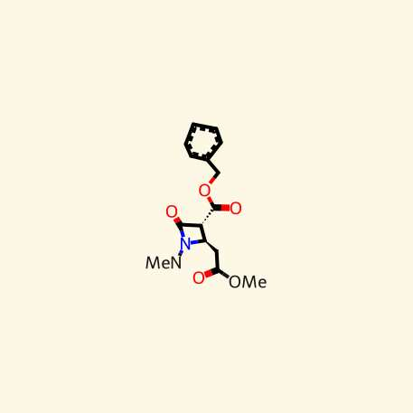 CNN1C(=O)[C@H](C(=O)OCc2ccccc2)[C@H]1CC(=O)OC